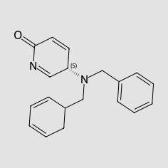 O=C1C=C[C@H](N(Cc2ccccc2)CC2C=CC=CC2)C=N1